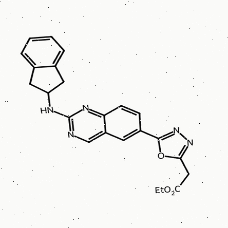 CCOC(=O)Cc1nnc(-c2ccc3nc(NC4Cc5ccccc5C4)ncc3c2)o1